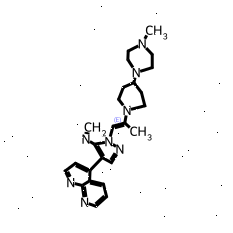 C=Nc1c(-c2ccnc3ncccc23)cnn1/C=C(\C)N1CCC(N2CCN(C)CC2)CC1